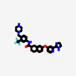 O=C(Nc1ccc(CN2CCNCC2)c(C(F)(F)F)c1)C1CCc2ccc(Oc3ccnc(C4=NCCN4)c3)cc2C1